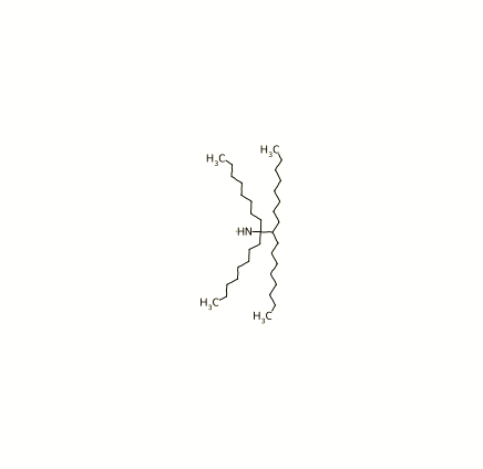 CCCCCCCCC(CCCCCCCC)C([NH])(CCCCCCCC)CCCCCCCC